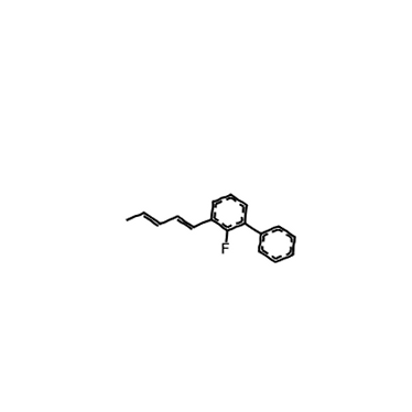 C/C=C/C=C/c1cccc(-c2ccccc2)c1F